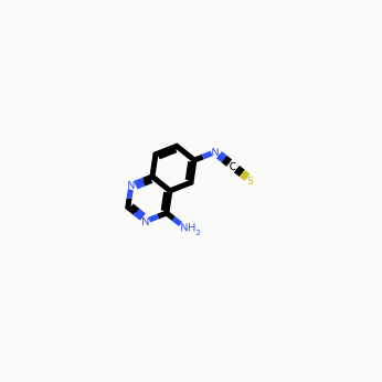 Nc1ncnc2ccc(N=C=S)cc12